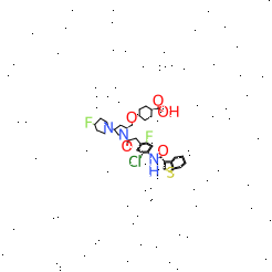 O=C(Nc1cc(F)c(CC(=O)N2C[C@@H](N3CCC(F)CC3)C[C@H]2CO[C@H]2CC[C@H](C(=O)O)CC2)cc1Cl)c1csc2ccccc12